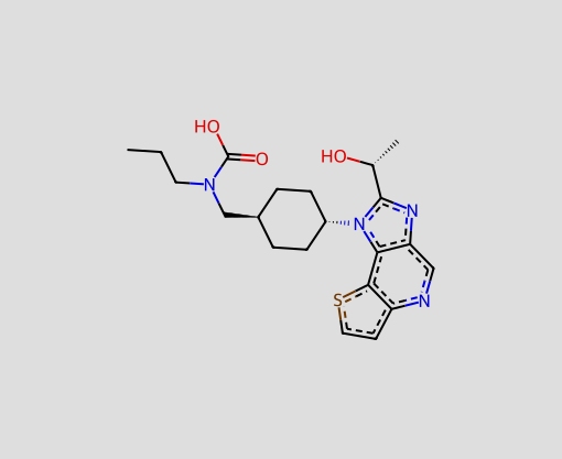 CCCN(C[C@H]1CC[C@H](n2c([C@@H](C)O)nc3cnc4ccsc4c32)CC1)C(=O)O